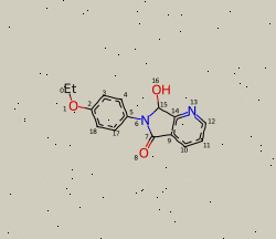 CCOc1ccc(N2C(=O)c3cccnc3C2O)cc1